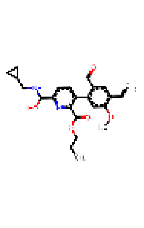 C=Cc1cc(C=O)c(-c2ccc(C(O)NCC3CC3)nc2C(=O)OCCC)cc1OC